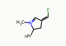 CCCC1C/C(=C/F)C=[N+]1C